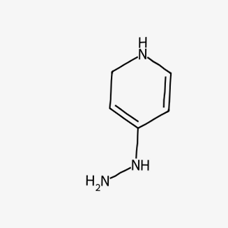 NNC1=CCNC=C1